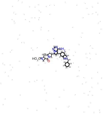 CC(C)(C)C1C(C(=O)N2CCC(c3cc(-c4ccc5cn(Cc6ccccc6)nc5c4)c4c(N)ncnn34)C2)CN1C(=O)O